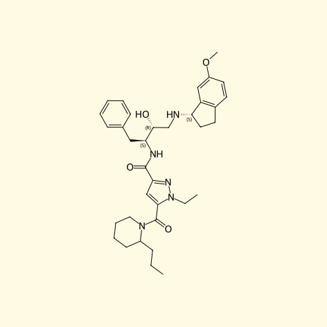 CCCC1CCCCN1C(=O)c1cc(C(=O)N[C@@H](Cc2ccccc2)[C@H](O)CN[C@H]2CCc3ccc(OC)cc32)nn1CC